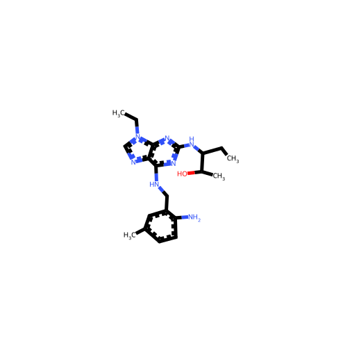 CCC(Nc1nc(NCc2cc(C)ccc2N)c2ncn(CC)c2n1)C(C)O